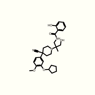 COc1ccc(C2(C#N)CCN(C(C)(CO)CNC(=O)c3ccccc3O)CC2)cc1OC1CCCC1